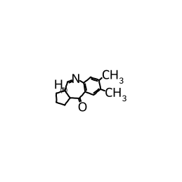 Cc1cc2c(cc1C)C(=O)C1CCC[C@H]1C=N2